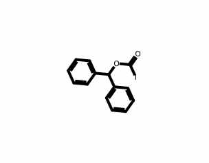 O=C(I)OC(c1ccccc1)c1ccccc1